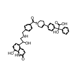 O=C(c1ccc(CNCC(O)c2ccc(O)c3[nH]c(=O)ccc23)cc1)N1CC=C(c2ccc(C(O)(C(=O)O)c3ccccc3)cc2)CC1